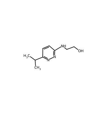 CC(C)c1ccc(NCCO)nn1